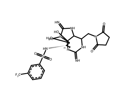 CC1(O)[C@@H](NS(=O)(=O)c2cccc(C(F)(F)F)c2)CN2C(=N)NC(CN3C(=O)CCC3=O)C3NC(=N)N(O)C321